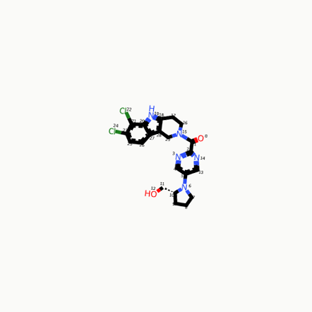 O=C(c1ncc(N2CCC[C@@H]2CO)cn1)N1CCc2[nH]c3c(Cl)c(Cl)ccc3c2C1